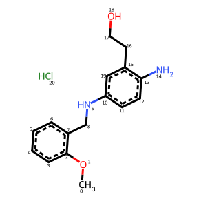 COc1ccccc1CNc1ccc(N)c(CCO)c1.Cl